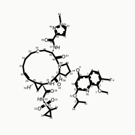 COc1c(F)ccc2c(O[C@@H]3C[C@H]4C(=O)N[C@]5(C(=O)NS(=O)(=O)C6(C)CC6)C[C@H]5C=CCCCCC[C@H](NC(=O)c5ccn(C)n5)C(=O)N4C3)cc(OC(C)C)nc12